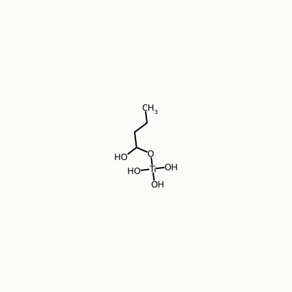 CCCC(O)[O][Ti]([OH])([OH])[OH]